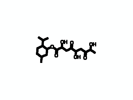 CC1CCC(C(C)C)C(OC(=O)C(O)CC(=O)C(O)CC(=O)C(C)O)C1